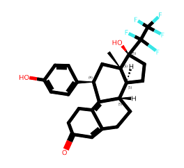 C[C@]12C[C@H](c3ccc(O)cc3)C3=C4CCC(=O)C=C4CC[C@H]3[C@@H]1CC[C@@]2(O)C(F)(F)C(F)(F)F